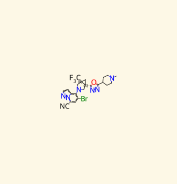 CN1CCC(c2nnc([C@]34CN(c5c(Br)cc(C#N)n6nccc56)C[C@@]3(C(F)(F)F)C4)o2)CC1